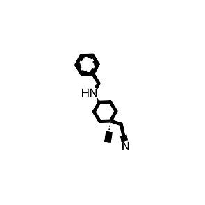 C#C[C@]1(CC#N)CC[C@H](NCc2ccccc2)CC1